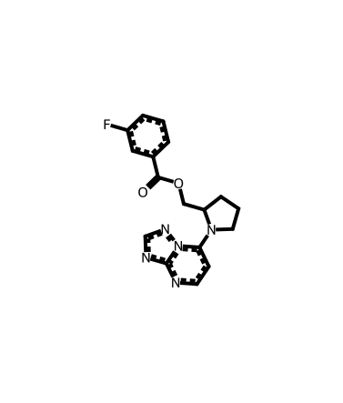 O=C(OCC1CCCN1c1ccnc2ncnn12)c1cccc(F)c1